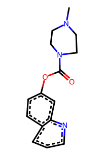 CN1CCN(C(=O)Oc2ccc3cccnc3c2)CC1